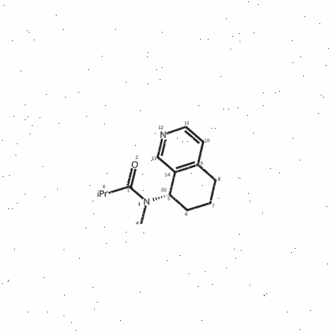 CC(C)C(=O)N(C)[C@H]1CCCc2ccncc21